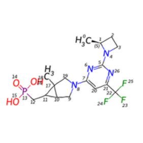 C[C@H]1CCN1c1nc(N2CC3C(CP(=O)(O)O)C3(C)C2)cc(C(F)(F)F)n1